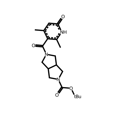 Cc1cc(=O)[nH]c(C)c1C(=O)N1CC2CN(C(=O)OC(C)(C)C)CC2C1